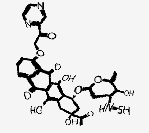 CC(=O)[C@]1(O)Cc2c(O)c3c(c(O)c2[C@@H](OC2CC(NS)C(O)C(C)O2)C1)C(=O)c1c(OCC(=O)c2cnccn2)cccc1C3=O